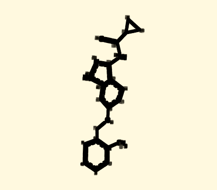 Cc1ccccc1COc1ccc2c(NC(=O)C3CC3)n[nH]c2c1